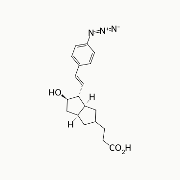 [N-]=[N+]=Nc1ccc(/C=C/[C@@H]2[C@H]3CC(CCC(=O)O)C[C@H]3C[C@H]2O)cc1